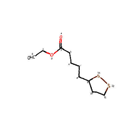 O=CCOC(=O)CCCCC1CCSS1